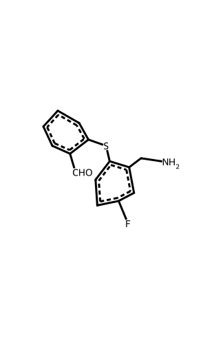 NCc1cc(F)ccc1Sc1ccccc1C=O